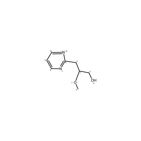 COC(CO)Cc1ncccn1